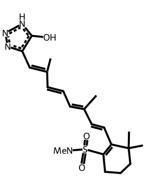 CNS(=O)(=O)C1=C(/C=C/C(C)=C/C=C/C(C)=C/c2nn[nH]c2O)C(C)(C)CCC1